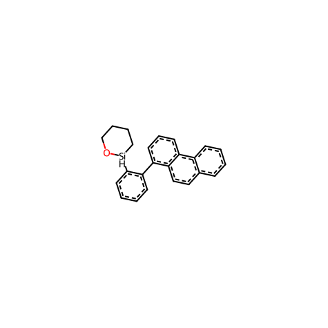 c1ccc([SiH]2CCCCO2)c(-c2cccc3c2ccc2ccccc23)c1